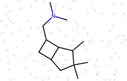 CC1C2C(CN(C)C)CC2CC1(C)C